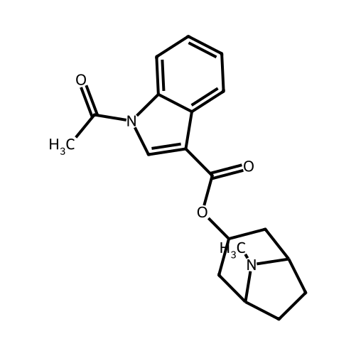 CC(=O)n1cc(C(=O)OC2CC3CCC(C2)N3C)c2ccccc21